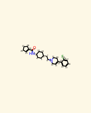 O=C(N[C@H]1CC[C@H](CCN2CC=C(c3ccccc3F)CC2)CC1)C1=CCCC1